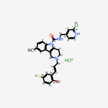 Cl.N#Cc1ccc2c(c1)c1c(n2C(=O)NCc2ccnc(Cl)c2)CCN(C/C=C/c2cc(F)ccc2Br)C1